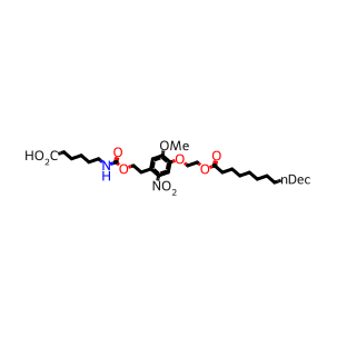 CCCCCCCCCCCCCCCCCC(=O)OCCOc1cc([N+](=O)[O-])c(CCOC(=O)NCCCCCC(=O)O)cc1OC